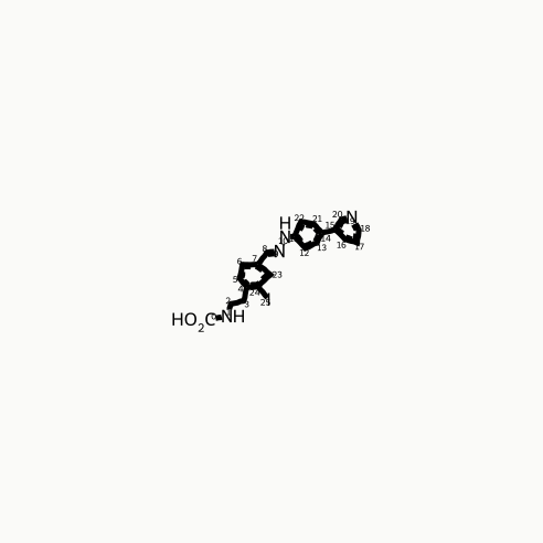 O=C(O)NCCc1ccc(C=NNc2ccc(-c3cccnc3)cc2)cc1I